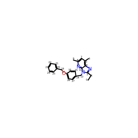 CCc1nc2c(C)cc(C)nc2n1Cc1ccc(OCc2ccccc2)cc1